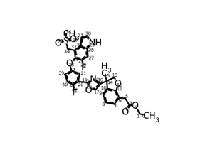 CCOC(=O)Cc1cccc2c1OCC2(C)c1coc(-c2cc(Oc3c(F)cc4[nH]ccc4c3CS(C)(=O)=O)ccc2F)n1